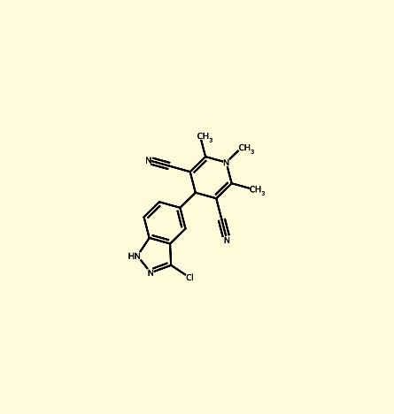 CC1=C(C#N)C(c2ccc3[nH]nc(Cl)c3c2)C(C#N)=C(C)N1C